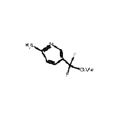 COC(F)(F)c1ccc(N)nc1